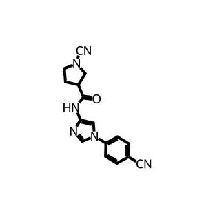 N#Cc1ccc(-n2cnc(NC(=O)C3CCN(C#N)C3)c2)cc1